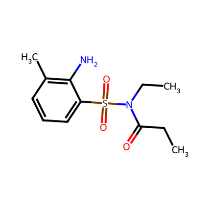 CCC(=O)N(CC)S(=O)(=O)c1cccc(C)c1N